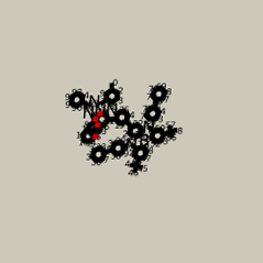 Cc1ccc(-n2c3ccc(-c4ccccc4)cc3c3cc(-c4cc5c6c(c4)N(c4ccc(-c7ccccc7)cc4)c4cc(C(C)(C)C)ccc4B6c4ccc(C(C)(C)C)cc4N5c4ccc(-c5ccccc5)cc4)ccc32)c(-c2nc(-c3ccccc3)nc(-c3ccccc3)n2)c1